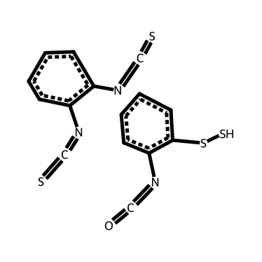 O=C=Nc1ccccc1SS.S=C=Nc1ccccc1N=C=S